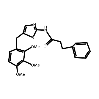 COc1ccc(Cc2cnc(NC(=O)CCc3ccccc3)s2)c(OC)c1OC